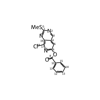 CSc1ncc2cc(OC(=O)c3ccccc3)nc(Cl)c2n1